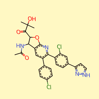 CC(=O)NC1c2cc(-c3ccc(Cl)cc3)c(-c3ccc(-c4cc[nH]n4)cc3Cl)nc2OC1C(=O)C(C)(C)O